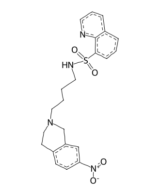 O=[N+]([O-])c1ccc2c(c1)CN(CCCCNS(=O)(=O)c1cccc3cccnc13)CC2